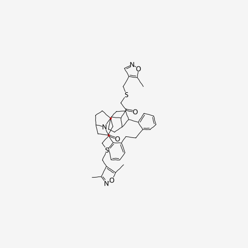 Cc1noc(C)c1CSCC(=O)N1C2CCC1CC(c1ccccc1CCc1ccccc1C1CCC3CCC1C3C(=O)CSCc1cnoc1C)C2